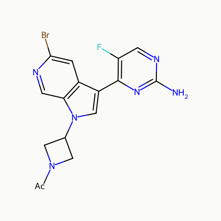 CC(=O)N1CC(n2cc(-c3nc(N)ncc3F)c3cc(Br)ncc32)C1